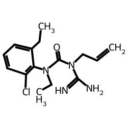 C=CCN(C(=N)N)C(=O)N(CC)c1c(Cl)cccc1CC